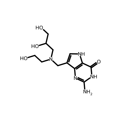 Nc1nc2c(CN(CCO)CC(O)CO)c[nH]c2c(=O)[nH]1